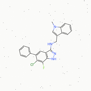 Cn1cc(CNc2n[nH]c3c(F)c(Cl)c(-c4ccccc4)cc23)c2ccccc21